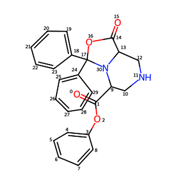 O=C(Oc1ccccc1)C1CNCC2C(=O)OC(c3ccccc3)(c3ccccc3)N12